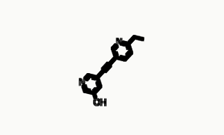 CCc1ccc(C#Cc2cncc(O)c2)cn1